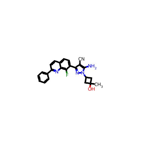 CC1(O)CC(n2nc(-c3ccc4ccc(-c5ccccc5)nc4c3F)c(C#N)c2N)C1